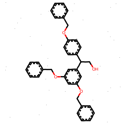 OCC(c1ccc(OCc2ccccc2)cc1)c1cc(OCc2ccccc2)cc(OCc2ccccc2)c1